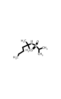 CCCCC(C)(C)NS(=O)(=O)C(C)C